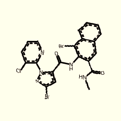 CNC(=O)c1cc2ccccc2c(Br)c1NC(=O)c1cc(Br)nn1-c1ncccc1Cl